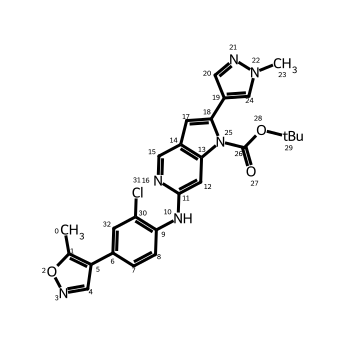 Cc1oncc1-c1ccc(Nc2cc3c(cn2)cc(-c2cnn(C)c2)n3C(=O)OC(C)(C)C)c(Cl)c1